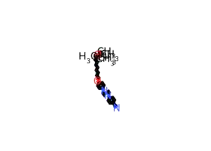 C[Si](C)(C)O[Si](C)(C)CCCCCCCCOc1ccc(N2CCN(c3ccc(C#N)cc3)CC2)cc1